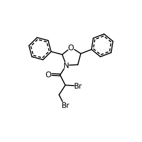 O=C(C(Br)CBr)N1CC(c2ccccc2)OC1c1ccccc1